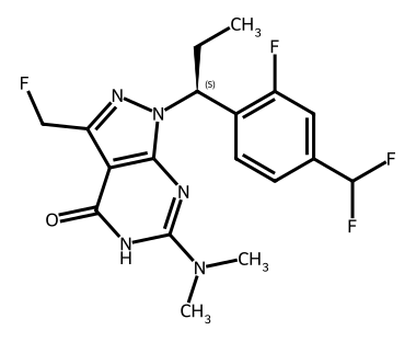 CC[C@@H](c1ccc(C(F)F)cc1F)n1nc(CF)c2c(=O)[nH]c(N(C)C)nc21